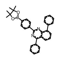 CC1(C)OB(c2ccc(-c3nc(-c4ccccc4)c4cccc(-c5ccccc5)c4n3)cc2)OC1(C)C